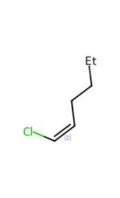 CCCC/C=C\Cl